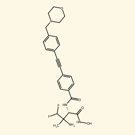 CC(N)(C(F)F)[C@H](NC(=O)c1ccc(C#Cc2ccc(CN3CCOCC3)cc2)cc1)C(=O)NO